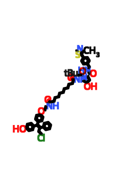 Cc1ncsc1-c1ccc(CNC(=O)[C@@H]2C[C@@H](O)CN2C(=O)C(NC(=O)CCCCCCCCCC(=O)NCCOc2ccc(C(=C(CCCl)c3ccccc3)c3ccc(O)cc3)cc2)C(C)(C)C)cc1